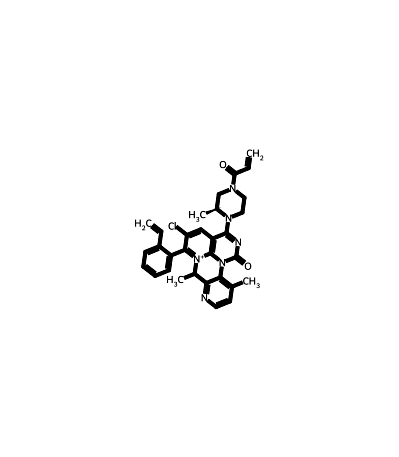 C=CC(=O)N1CCN(c2nc(=O)n3c4c2cc(Cl)c(-c2ccccc2C=C)[n+]4C(C)c2nccc(C)c2-3)[C@@H](C)C1